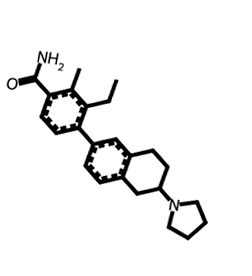 CCc1c(-c2ccc3c(c2)CCC(N2CCCC2)C3)ccc(C(N)=O)c1C